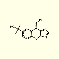 CC/C=C1\C2=CC=NC2Oc2ccc(C(C)(C)O)cc21